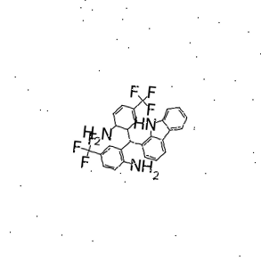 Nc1ccc(C(F)(F)F)cc1C(c1cccc2c1[nH]c1ccccc12)C1C=C(C(F)(F)F)C=CC1N